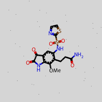 COc1c(CCC(N)=O)c(NS(=O)(=O)c2nccs2)cc2c1NC(=O)C2=O